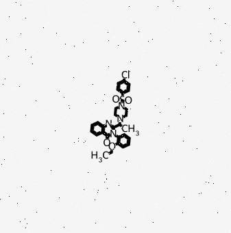 CCOc1ccccc1-n1c(C(C)N2CCN(S(=O)(=O)c3ccc(Cl)cc3)CC2)nc2ccccc2c1=O